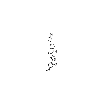 COc1ccc(-c2nc(C(=O)Nc3ccc(N4CCC(N(C)C)C4)cc3)cs2)c(OC)c1